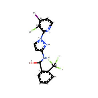 OC(Nc1ccn(-c2nccc(I)c2F)n1)c1ccccc1C(F)(F)F